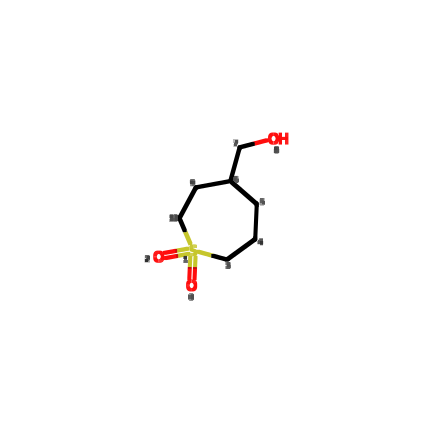 O=S1(=O)CCCC(CO)CC1